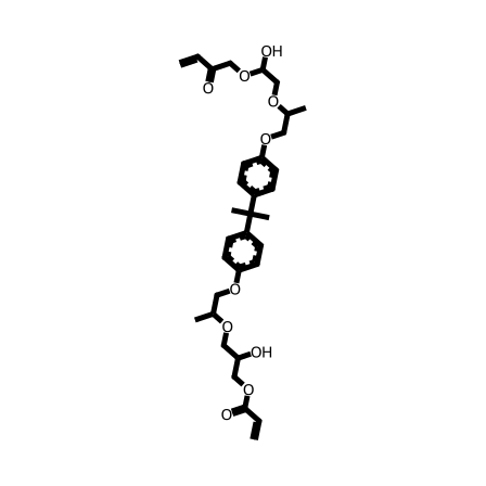 C=CC(=O)COC(O)COC(C)COc1ccc(C(C)(C)c2ccc(OCC(C)OCC(O)COC(=O)C=C)cc2)cc1